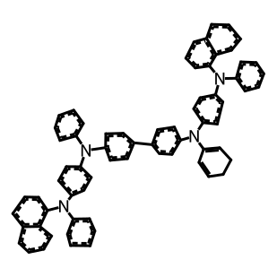 C1=CC(N(c2ccc(-c3ccc(N(c4ccccc4)c4ccc(N(c5ccccc5)c5cccc6ccccc56)cc4)cc3)cc2)c2ccc(N(c3ccccc3)c3cccc4ccccc34)cc2)=CCC1